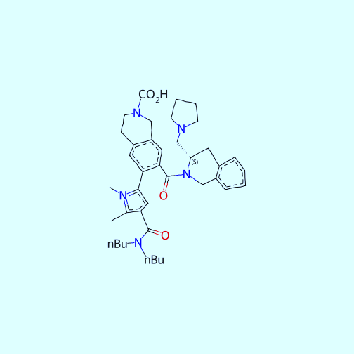 CCCCN(CCCC)C(=O)c1cc(-c2cc3c(cc2C(=O)N2Cc4ccccc4C[C@H]2CN2CCCC2)CN(C(=O)O)CC3)n(C)c1C